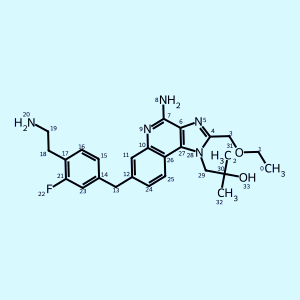 CCOCc1nc2c(N)nc3cc(Cc4ccc(CCN)c(F)c4)ccc3c2n1CC(C)(C)O